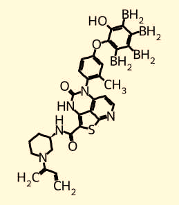 Bc1c(B)c(B)c(Oc2ccc(N3C(=O)Nc4c(C(=O)N[C@@H]5CCCN(C(=C)C=C)C5)sc5nccc3c45)c(C)c2)c(O)c1B